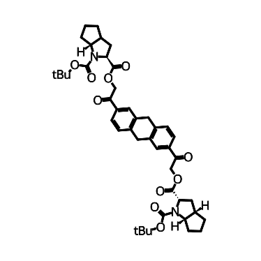 CC(C)(C)OC(=O)N1[C@@H]2CCCC2C[C@H]1C(=O)OCC(=O)c1ccc2c(c1)Cc1ccc(C(=O)COC(=O)[C@@H]3C[C@@H]4CCC[C@@H]4N3C(=O)OC(C)(C)C)cc1C2